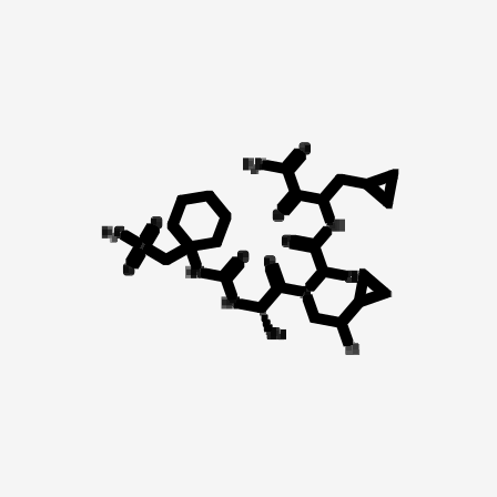 CCC(CN(C(=O)[C@@H](NC(=O)NC1(CS(C)(=O)=O)CCCCC1)C(C)(C)C)C(C)C(=O)NC(CC1CC1)C(=O)C(N)=O)C1CC1